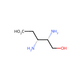 N[C@H](CO)[C@H](N)CC(=O)O